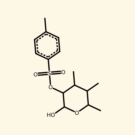 Cc1ccc(S(=O)(=O)OC2C(O)OC(C)C(C)C2C)cc1